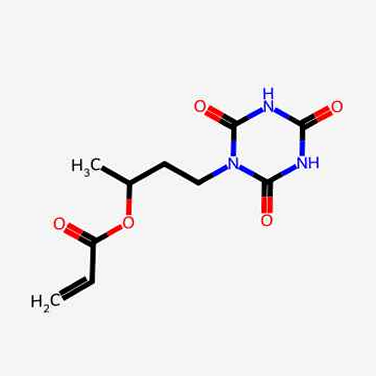 C=CC(=O)OC(C)CCn1c(=O)[nH]c(=O)[nH]c1=O